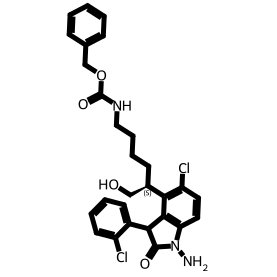 NN1C(=O)C(c2ccccc2Cl)c2c1ccc(Cl)c2[C@@H](CO)CCCCNC(=O)OCc1ccccc1